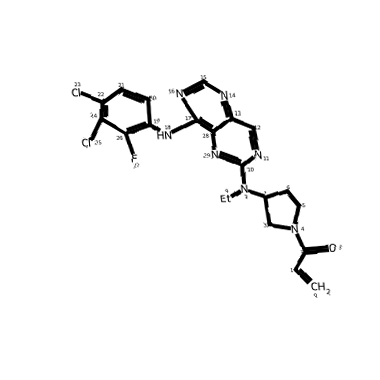 C=CC(=O)N1CCC(N(CC)c2ncc3ncnc(Nc4ccc(Cl)c(Cl)c4F)c3n2)C1